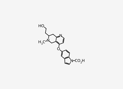 CN1Cc2c(Oc3ccc4c(ccn4C(=O)O)c3)ccnc2CC1CCO